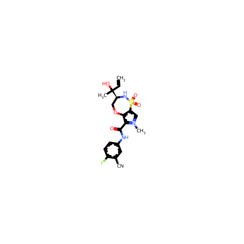 C=CC(C)(O)[C@@H]1COc2c(cn(C)c2C(=O)Nc2ccc(F)c(C#N)c2)S(=O)(=O)N1